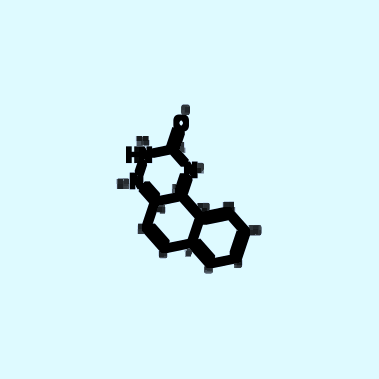 O=c1nc2c(ccc3ccccc32)n[nH]1